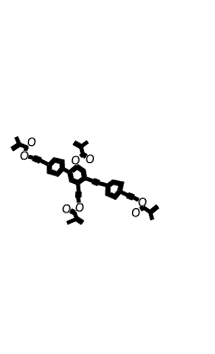 C=C(C)C(=O)OC#Cc1ccc(C#Cc2cc(OC(=O)C(=C)C)c(-c3ccc(C#COC(=O)C(=C)C)cc3)cc2C#COC(=O)C(=C)C)cc1